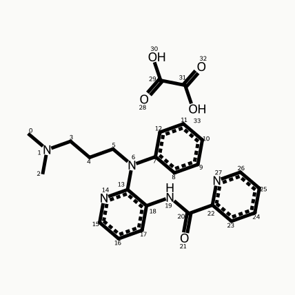 CN(C)CCCN(c1ccccc1)c1ncccc1NC(=O)c1ccccn1.O=C(O)C(=O)O